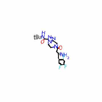 CC(C)(C)NC(=O)c1nnc2n1CCN(C(=O)C[C@H](N)Cc1cc(F)c(F)cc1F)C2